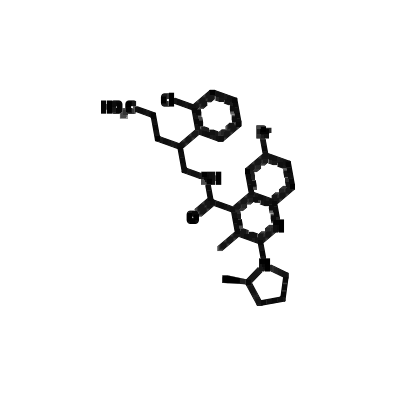 Cc1c(N2CCC[C@H]2C)nc2ccc(Br)cc2c1C(=O)NCC(CCC(=O)O)c1ccccc1Cl